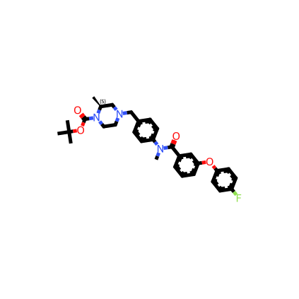 C[C@H]1CN(Cc2ccc(N(C)C(=O)c3cccc(Oc4ccc(F)cc4)c3)cc2)CCN1C(=O)OC(C)(C)C